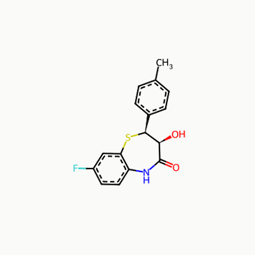 Cc1ccc([C@@H]2Sc3cc(F)ccc3NC(=O)[C@@H]2O)cc1